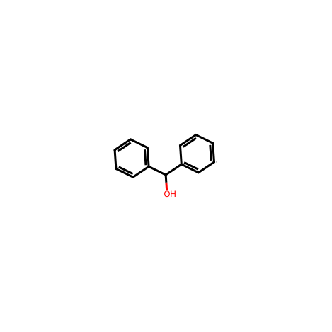 OC(c1c[c]ccc1)c1ccccc1